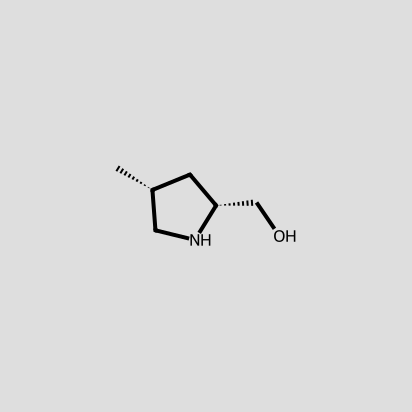 C[C@H]1CN[C@@H](CO)C1